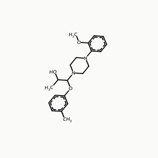 COc1ccccc1N1CCN(C(Oc2cccc(C)c2)C(C)O)CC1